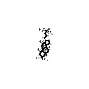 C[C@]1(O)CC[C@@]2(C)[C@@H](CC[C@@H]3[C@@H]2CC[C@]2(C)[C@@H](CCC[C@@](C)(O)C(F)(F)F)CC[C@@H]32)C1